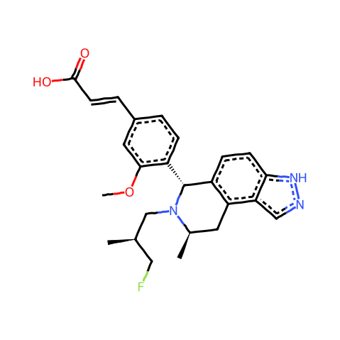 COc1cc(/C=C/C(=O)O)ccc1[C@@H]1c2ccc3[nH]ncc3c2C[C@@H](C)N1C[C@H](C)CF